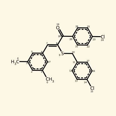 Cc1cc(C)cc(C=C(SCc2ccc(Cl)cc2)C(=O)c2ccc(Cl)cc2)c1